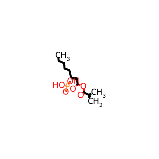 C=C(C)C(=O)OC(CCCCCCC)OP(=O)(O)O